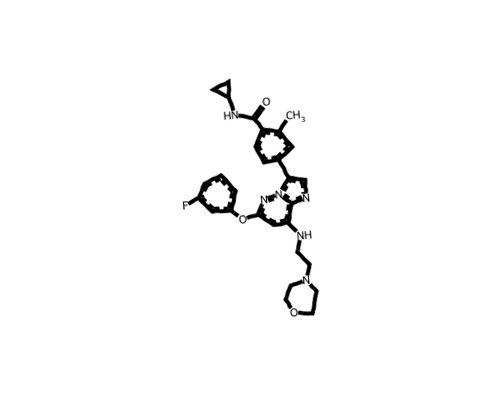 Cc1cc(-c2cnc3c(NCCN4CCOCC4)cc(Oc4cccc(F)c4)nn23)ccc1C(=O)NC1CC1